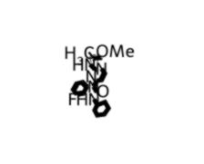 COC[C@H](C)Nc1nccc(N(C(=O)NC2CCCCC2)c2cccc(F)c2)n1